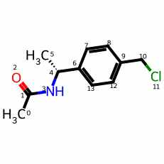 CC(=O)N[C@H](C)c1ccc(CCl)cc1